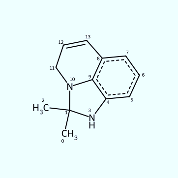 CC1(C)Nc2cccc3c2N1CC=C3